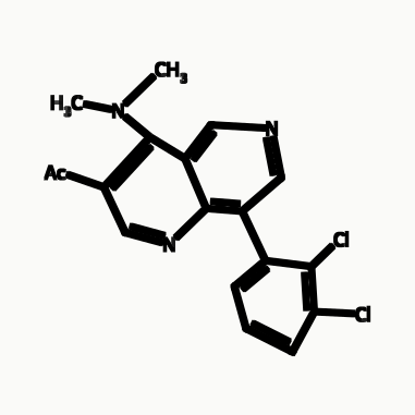 CC(=O)c1cnc2c(-c3cccc(Cl)c3Cl)cncc2c1N(C)C